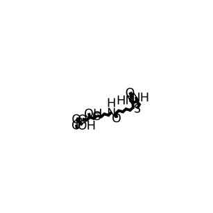 COP(=O)(O)OCC(O)COCCCNC(=O)CCCCC1SCC2NC(=O)NC21